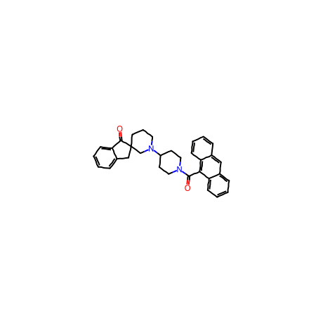 O=C(c1c2ccccc2cc2ccccc12)N1CCC(N2CCCC3(Cc4ccccc4C3=O)C2)CC1